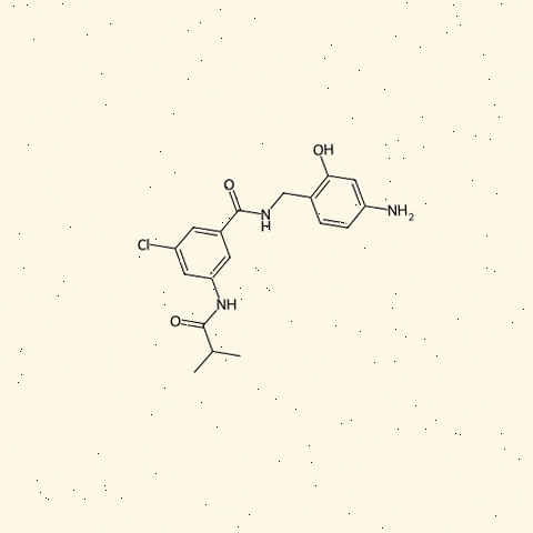 CC(C)C(=O)Nc1cc(Cl)cc(C(=O)NCc2ccc(N)cc2O)c1